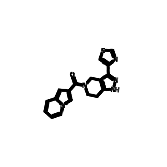 O=C(c1cc2ccccn2c1)N1CCc2[nH]nc(-c3cscn3)c2C1